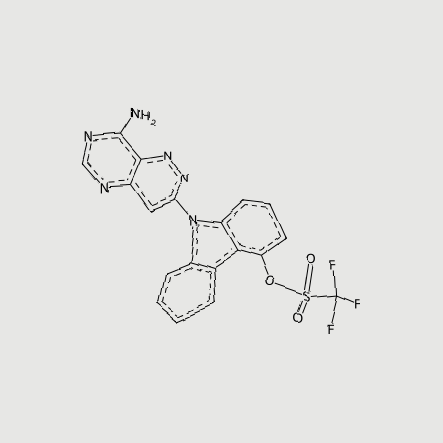 Nc1ncnc2cc(-n3c4ccccc4c4c(OS(=O)(=O)C(F)(F)F)cccc43)nnc12